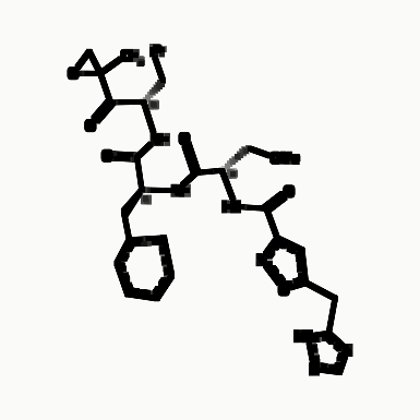 COC[C@H](NC(=O)c1cc(Cc2ncn[nH]2)on1)C(=O)N[C@@H](Cc1ccccc1)C(=O)N[C@@H](CC(C)C)C(=O)C1(C)CO1